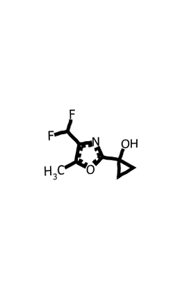 Cc1oc(C2(O)CC2)nc1C(F)F